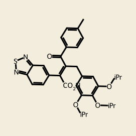 Cc1ccc(C(=O)C(Cc2cc(OC(C)C)c(OC(C)C)c(OC(C)C)c2)=C(C(=O)O)c2ccc3nsnc3c2)cc1